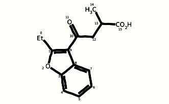 CCc1oc2ccccc2c1C(=O)CC(C)C(=O)O